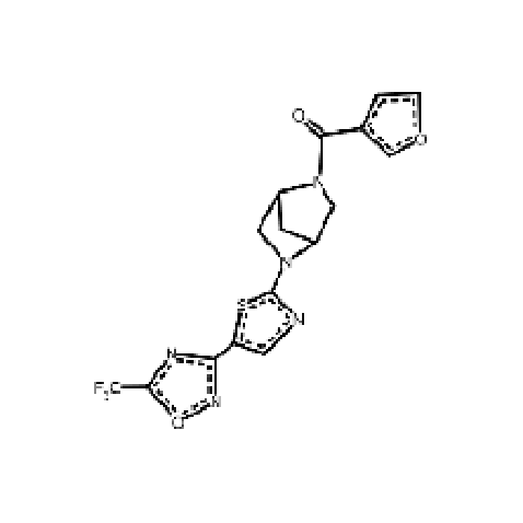 O=C(c1ccoc1)N1CC2CC1CN2c1ncc(-c2noc(C(F)(F)F)n2)s1